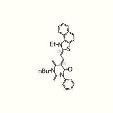 C=C1/C(=C\C=C2/Sc3ccc4ccccc4c3N2CC)C(=O)N(c2ccccc2)C(=C)N1CCCC